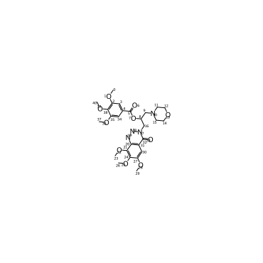 COc1cc(C(=O)OC(CN2CCOCC2)Cn2nnc3c(OC)c(OC)c(OC)cc3c2=O)cc(OC)c1OC